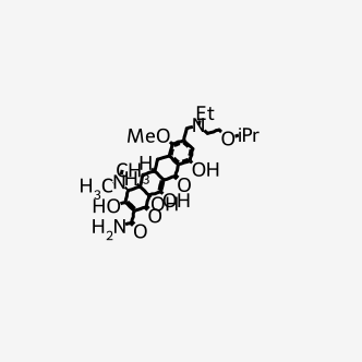 CCN(CCOC(C)C)Cc1cc(O)c2c(c1OC)C[C@H]1C[C@H]3[C@H](N(C)C)C(O)=C(C(N)=O)C(=O)[C@@]3(O)C(O)=C1C2=O